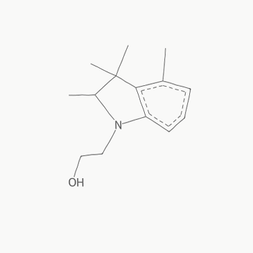 Cc1cccc2c1C(C)(C)C(C)N2CCO